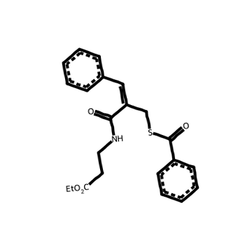 CCOC(=O)CCNC(=O)/C(=C\c1ccccc1)CSC(=O)c1ccccc1